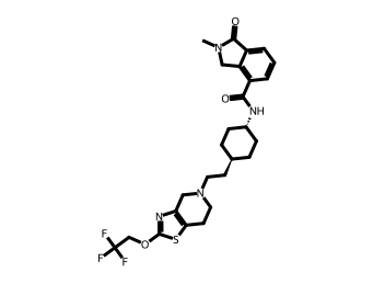 CN1Cc2c(C(=O)N[C@H]3CC[C@H](CCN4CCc5sc(OCC(F)(F)F)nc5C4)CC3)cccc2C1=O